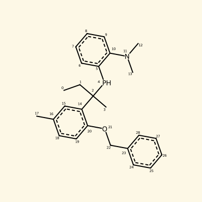 CCC(C)(Pc1ccccc1N(C)C)c1cc(C)ccc1OCc1ccccc1